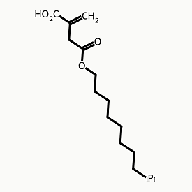 C=C(CC(=O)OCCCCCCCCC(C)C)C(=O)O